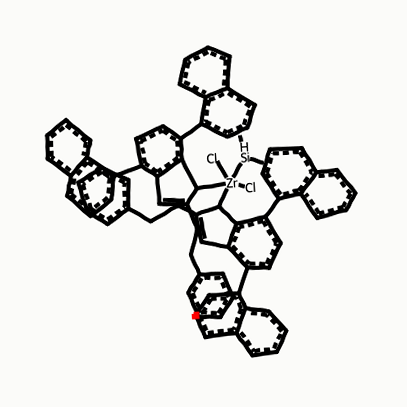 C[SiH](C)[Zr]([Cl])([Cl])([CH]1C(CCc2ccccc2)=Cc2c(-c3cccc4ccccc34)ccc(-c3cccc4ccccc34)c21)[CH]1C(CCc2ccccc2)=Cc2c(-c3cccc4ccccc34)ccc(-c3cccc4ccccc34)c21